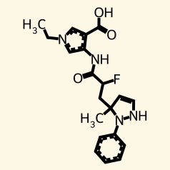 CCn1cc(NC(=O)C(F)CC2(C)C=CNN2c2ccccc2)c(C(=O)O)c1